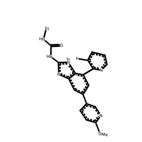 CCNC(=O)Nc1nc2cc(-c3ccc(OC)nc3)cc(-c3ncccc3F)c2[nH]1